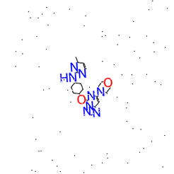 Cc1ccnc(N[C@H]2CC[C@@H](Oc3nc(N4CCOCC4)cc4ncnn34)CC2)n1